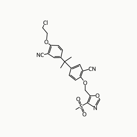 CC(C)(c1ccc(OCCCl)c(C#N)c1)c1ccc(OCc2ocnc2S(C)(=O)=O)c(C#N)c1